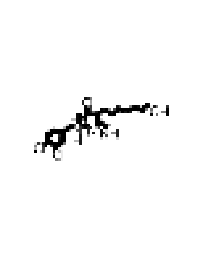 N=Cc1nc(NCc2ccc(Cl)c(Cl)c2)[nH]c(=O)c1CCCCCCCO